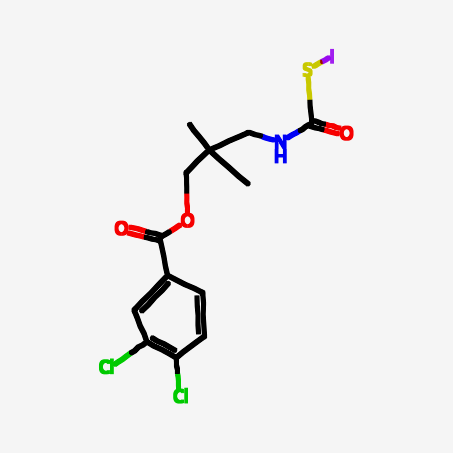 CC(C)(CNC(=O)SI)COC(=O)c1ccc(Cl)c(Cl)c1